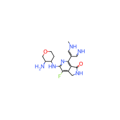 CN/C=C(\C=N)c1nc(NC2CCOC[C@@H]2N)c(F)c2c1C(=O)NC2